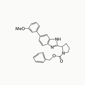 COc1cccc(-c2ccc3nc(C4CCCN4C(=O)OCc4ccccc4)[nH]c3c2)c1